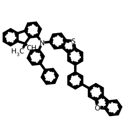 CC1(C)c2ccccc2-c2cccc(N(c3cccc(-c4ccccc4)c3)c3ccc4sc5ccc(-c6cccc(-c7ccc8c(c7)oc7ccccc78)c6)cc5c4c3)c21